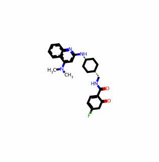 CN(C)c1cc(N[C@H]2CC[C@@H](CNC(=O)C3=CC=C(F)CC3=O)CC2)nc2ccccc12